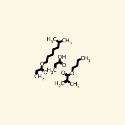 C=C(C)C(=O)OCCCC.C=CC(=O)O.C=CC(=O)OCCCCCC(C)C